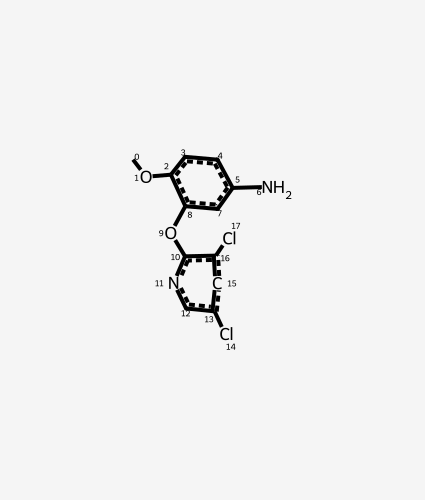 COc1ccc(N)cc1Oc1ncc(Cl)cc1Cl